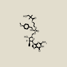 C#C[C@]1(F)C(n2cnc3c(=O)[nH]c(N)nc32)O[C@H](COP(=O)(NCc2ccc(OC)cc2)OCCSC(=O)C(C)(C)CO)[C@H]1O